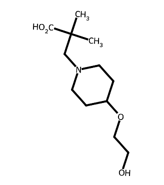 CC(C)(CN1CCC(OCCO)CC1)C(=O)O